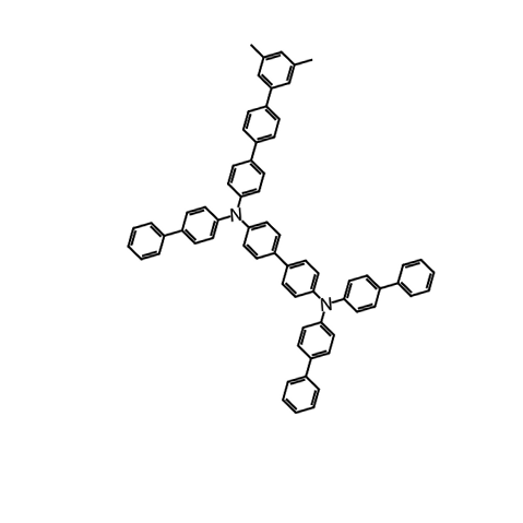 Cc1cc(C)cc(-c2ccc(-c3ccc(N(c4ccc(-c5ccccc5)cc4)c4ccc(-c5ccc(N(c6ccc(-c7ccccc7)cc6)c6ccc(-c7ccccc7)cc6)cc5)cc4)cc3)cc2)c1